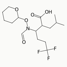 CC(C)CC(C(=O)O)C(CCC(F)(F)F)N(C=O)OC1CCCCO1